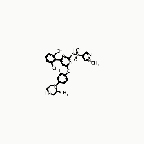 Cc1cccc(C)c1-c1cc(Oc2ccc(N3CCNCC3C)cc2)nc(NS(=O)(=O)c2cnn(C)c2)n1